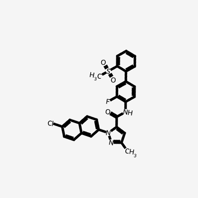 Cc1cc(C(=O)Nc2ccc(-c3ccccc3S(C)(=O)=O)cc2F)n(-c2ccc3cc(Cl)ccc3c2)n1